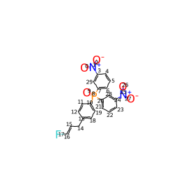 O=[N+]([O-])c1cccc(P(=O)(c2ccc(CC=CF)cc2)c2cccc([N+](=O)[O-])c2)c1